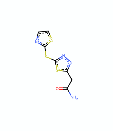 NC(=O)Cc1nnc(Sc2nccs2)s1